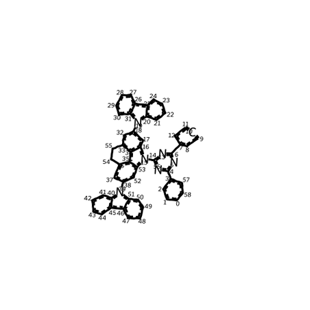 c1ccc(-c2nc(-c3ccccc3)nc(-n3c4cc(-n5c6ccccc6c6ccccc65)cc5c4c4c(cc(-n6c7ccccc7c7ccccc76)cc43)CC5)n2)cc1